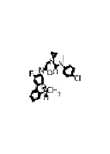 CS(=O)(=O)c1ccccc1-c1ccc(NC(=O)CN(C(=O)Nc2ccc(Cl)cc2)C2CC2)c(F)c1